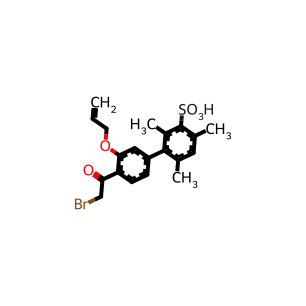 C=CCOc1cc(-c2c(C)cc(C)c(S(=O)(=O)O)c2C)ccc1C(=O)CBr